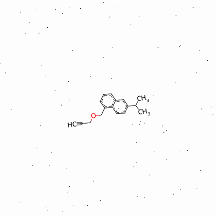 C#CCOCc1cccc2cc(C(C)C)ccc12